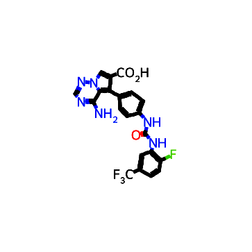 Nc1ncnn2cc(C(=O)O)c(-c3ccc(NC(=O)Nc4cc(C(F)(F)F)ccc4F)cc3)c12